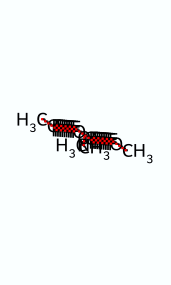 CCCCCCCOCC(F)(F)C(F)(F)C(F)(F)C(F)(F)C(F)(F)C(F)(F)C(F)(F)C(F)(F)C(F)(F)C(F)(F)COCCCC(CCOCC(F)(F)C(F)(F)C(F)(F)C(F)(F)C(F)(F)C(F)(F)C(F)(F)C(F)(F)C(F)(F)C(F)(F)COCCCCCCC)OCCCN(C)C